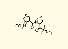 O=C(O)N1CSCC1C(=O)N1CSCC1C(=O)C(F)(F)C(F)(F)F